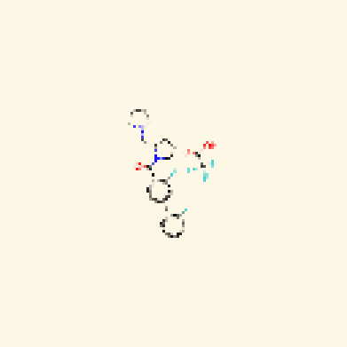 O=C(O)C(F)(F)F.O=C(c1ccc(-c2ccccc2F)cc1F)N1CCC[C@H]1CN1CCCC1